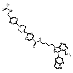 CCC(=O)NCc1cnc(N2CCN(c3ncc(C(=O)NCCCCn4nc(-c5cnc6[nH]ccc6c5)c5c(N)ncnc54)cn3)CC2)nc1